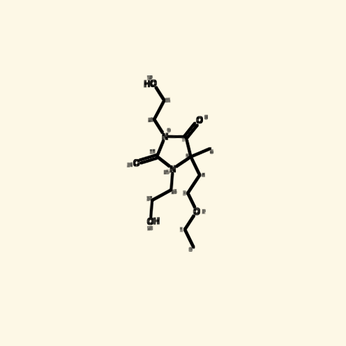 CCOCCC1(C)C(=O)N(CCO)C(=O)N1CCO